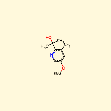 CCCCOc1cnc(C(C)(C)O)c(C(F)(F)F)c1